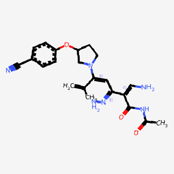 C=C(C)\C(=C/C(=N\N)C(=C/N)/C(=O)NC(C)=O)N1CCC(Oc2ccc(C#N)cc2)C1